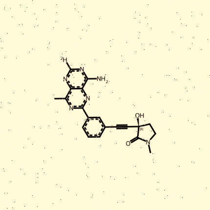 [2H]c1nc(N)c2nc(-c3cccc(C#C[C@]4(O)CCN(C)C4=O)c3)nc(C)c2n1